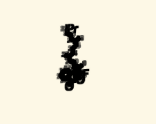 CC(=CCC12OC1(CF)C(=O)c1ccccc1C2=O)CCCC(C)CCCC(C)CCCC(C)C